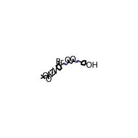 CC(C)(C)OC(=O)N1CCN(c2ccc(/C=C/C(=O)CC(=O)/C=C/c3ccc(O)cc3)c(Br)c2)CC1